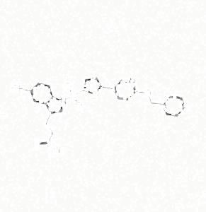 O=C(O)CCc1cn(S(=O)(=O)c2ccc(-c3ccc(OCc4ccccc4)nc3)s2)c2ccc(Cl)cc12